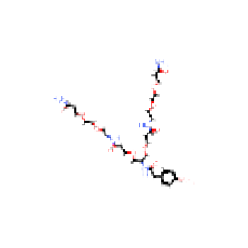 Bc1ccc(CC(=O)NC(COCCC(=O)NCCOCCOCCC(N)=O)COCCC(=O)NCCOCCOCCC(N)=O)cc1